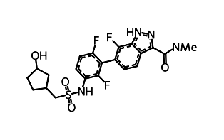 CNC(=O)c1n[nH]c2c(F)c(-c3c(F)ccc(NS(=O)(=O)CC4CCC(O)C4)c3F)ccc12